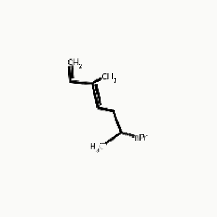 C=C/C(C)=C/CC(C)CCC